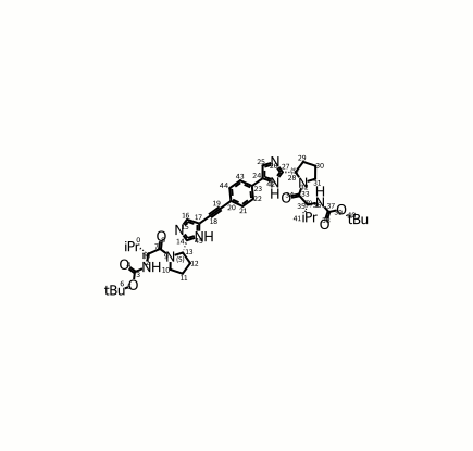 CC(C)[C@@H](NC(=O)OC(C)(C)C)C(=O)N1CCC[C@H]1c1ncc(C#Cc2ccc(-c3cnc([C@@H]4CCCN4C(=O)[C@H](NC(=O)OC(C)(C)C)C(C)C)[nH]3)cc2)[nH]1